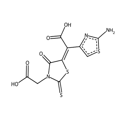 Nc1nc(/C(C(=O)O)=C2\SC(=S)N(CC(=O)O)C2=O)cs1